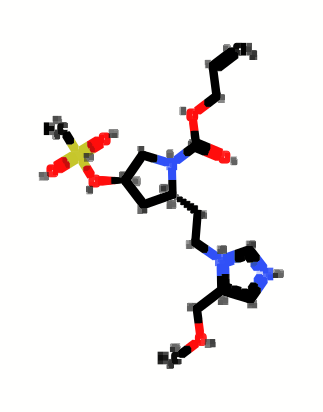 C=CCOC(=O)N1C[C@H](OS(C)(=O)=O)C[C@H]1CCn1cncc1COC